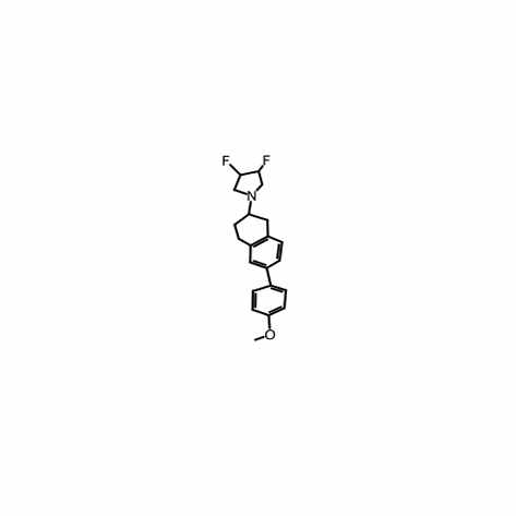 COc1ccc(-c2ccc3c(c2)CCC(N2CC(F)C(F)C2)C3)cc1